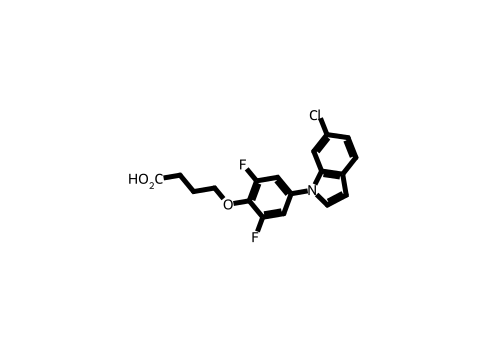 O=C(O)CCCOc1c(F)cc(-n2ccc3ccc(Cl)cc32)cc1F